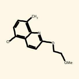 COCCOc1ccc2c(Cl)ccc(C)c2n1